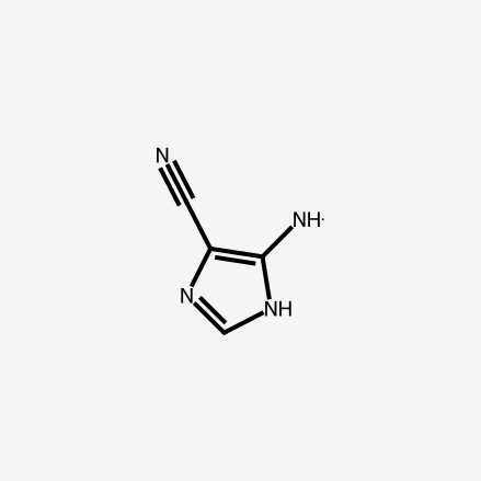 N#Cc1nc[nH]c1[NH]